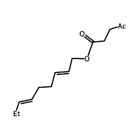 CCC=CCCC=CCOC(=O)CCC(C)=O